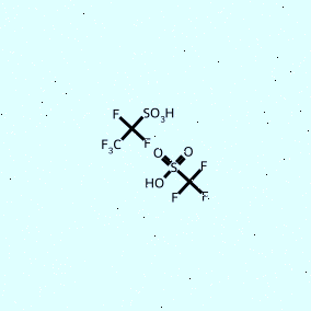 O=S(=O)(O)C(F)(F)C(F)(F)F.O=S(=O)(O)C(F)(F)F